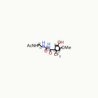 COc1cc(C(F)(F)F)c(C(=O)NC(=O)NCCNC(C)=O)cc1O